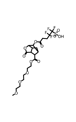 COCCOCCOCCOC(=O)C1C2CC3C(OC(=O)C31)C2OC(=O)CCC(F)(F)C(F)(F)S(=O)(=O)O